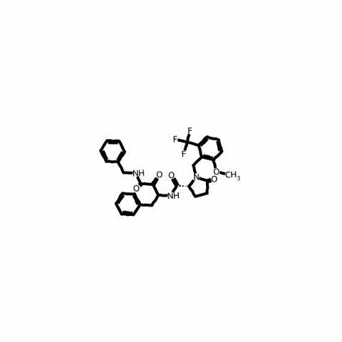 COc1cccc(C(F)(F)F)c1CN1C(=O)CC[C@@H]1C(=O)NC(Cc1ccccc1)C(=O)C(=O)NCc1ccccc1